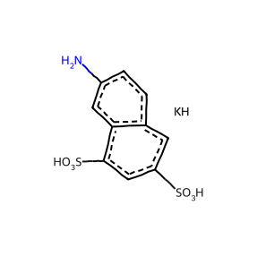 Nc1ccc2cc(S(=O)(=O)O)cc(S(=O)(=O)O)c2c1.[KH]